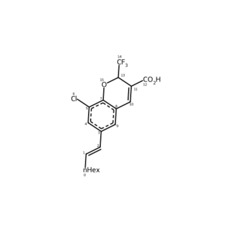 CCCCCCC=Cc1cc(Cl)c2c(c1)C=C(C(=O)O)C(C(F)(F)F)O2